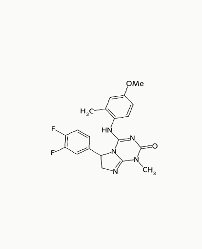 COc1ccc(NC2=NC(=O)N(C)C3=NCC(c4ccc(F)c(F)c4)N23)c(C)c1